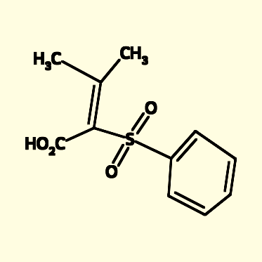 CC(C)=C(C(=O)O)S(=O)(=O)c1ccccc1